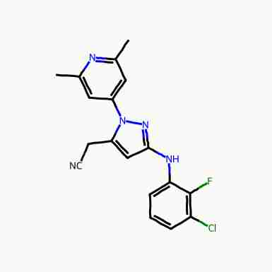 Cc1cc(-n2nc(Nc3cccc(Cl)c3F)cc2CC#N)cc(C)n1